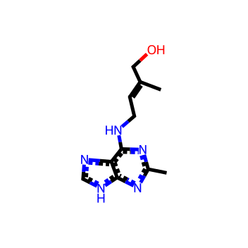 C/C(=C\CNc1nc(C)nc2[nH]cnc12)CO